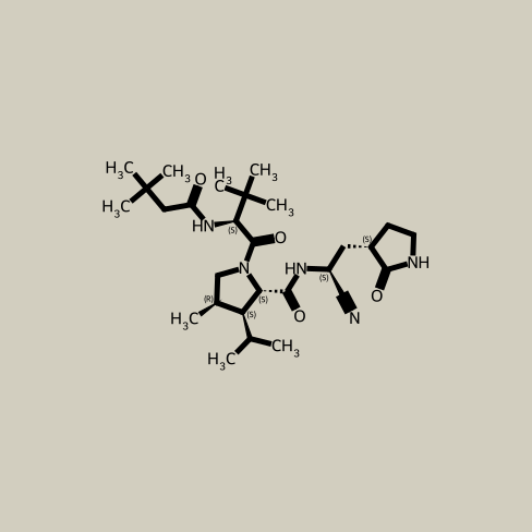 CC(C)[C@@H]1[C@@H](C(=O)N[C@H](C#N)C[C@@H]2CCNC2=O)N(C(=O)[C@@H](NC(=O)CC(C)(C)C)C(C)(C)C)C[C@@H]1C